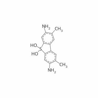 Cc1cc2c(cc1N)S(O)(O)c1cc(N)c(C)cc1-2